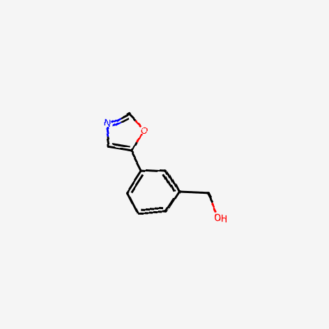 OCc1cccc(-c2cnco2)c1